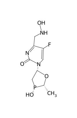 C[C@H]1O[C@@H](n2cc(F)c(CNO)nc2=O)C[P@@]1O